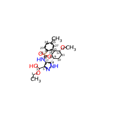 CCOC(O)c1n[nH]c([C@H]2CC[C@@H](OC)CC2)c1NS(=O)(=O)c1ccc(C)cc1